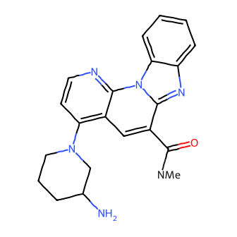 CNC(=O)c1cc2c(N3CCCC(N)C3)ccnc2n2c1nc1ccccc12